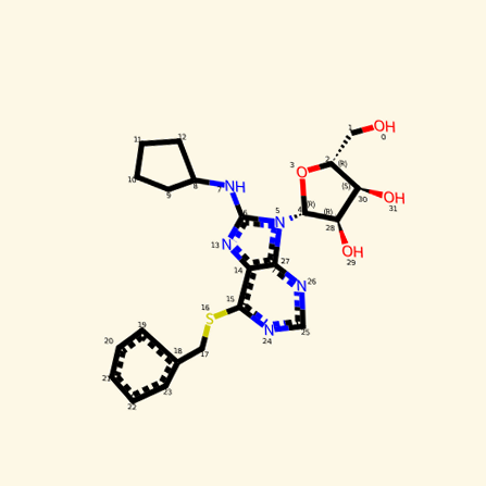 OC[C@H]1O[C@@H](n2c(NC3CCCC3)nc3c(SCc4ccccc4)ncnc32)[C@H](O)[C@@H]1O